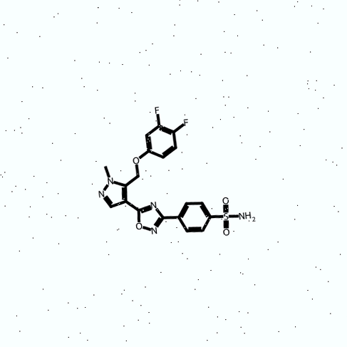 Cn1ncc(-c2nc(-c3ccc(S(N)(=O)=O)cc3)no2)c1COc1ccc(F)c(F)c1